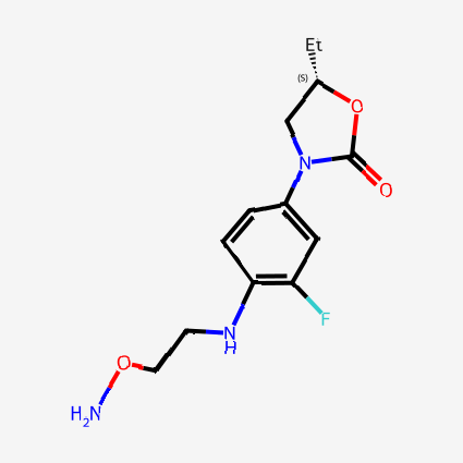 CC[C@H]1CN(c2ccc(NCCON)c(F)c2)C(=O)O1